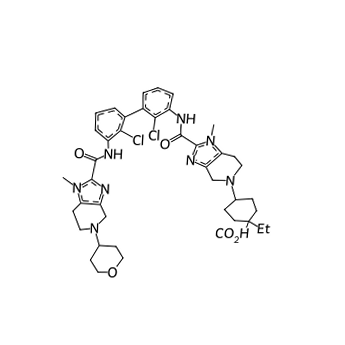 CCC1(C(=O)O)CCC(N2CCc3c(nc(C(=O)Nc4cccc(-c5cccc(NC(=O)c6nc7c(n6C)CCN(C6CCOCC6)C7)c5Cl)c4Cl)n3C)C2)CC1